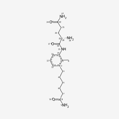 Cc1c(CCCCCC(N)=O)cccc1NC(=O)[C@@H](N)CCC(N)=O